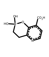 O=C(O)c1ccnc2c1O[B-](O)(O)CC2